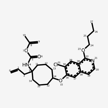 C=CCC1(NC(=O)OC(=C)C)CCCC(Oc2cc3ccnc(OCCCC)c3cc2Cl)CCC1